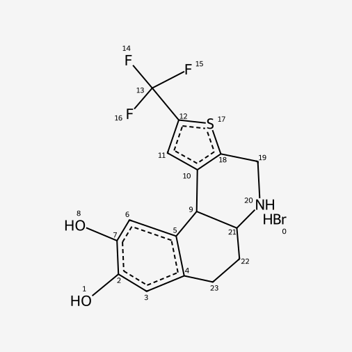 Br.Oc1cc2c(cc1O)C1c3cc(C(F)(F)F)sc3CNC1CC2